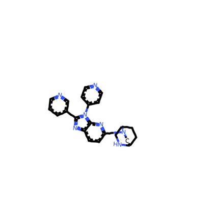 c1cncc(-c2nc3ccc(N4CC5CCC4CN5)nc3n2-c2ccncc2)c1